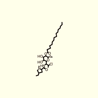 CCCCCCCCCCCCCCCC(=O)OC1C(SC)OC(C(NC(=O)C2CC(CC)CN2C)C(C)Cl)C(O)C1O